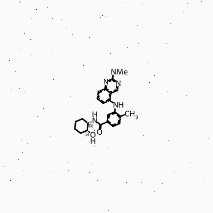 CNc1ncc2c(Nc3cc(C(=O)N[C@H]4CCCC[C@@H]4O)ccc3C)cccc2n1